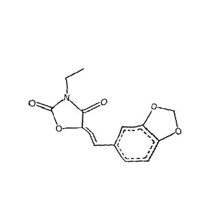 CCN1C(=O)OC(=Cc2ccc3c(c2)OCO3)C1=O